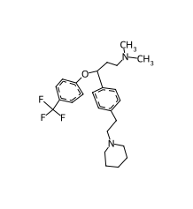 CN(C)CCC(Oc1ccc(C(F)(F)F)cc1)c1ccc(CCN2CCCCC2)cc1